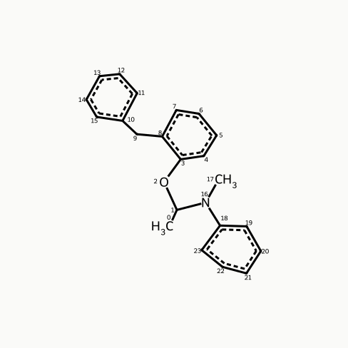 CC(Oc1ccccc1Cc1ccccc1)N(C)c1ccccc1